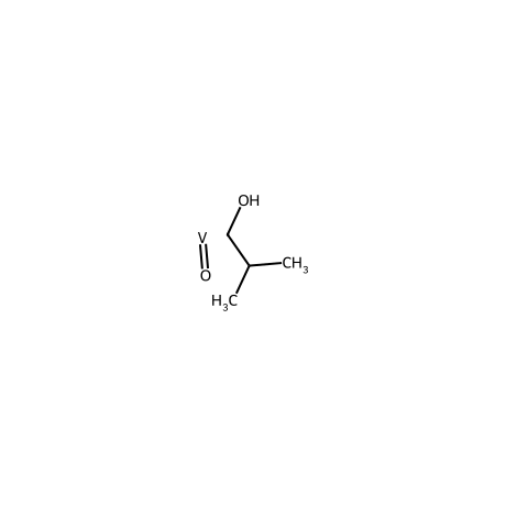 CC(C)CO.[O]=[V]